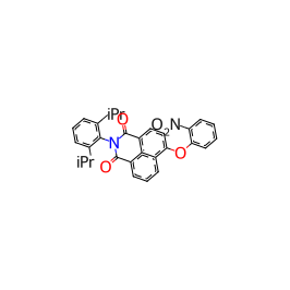 CC(C)c1cccc(C(C)C)c1N1C(=O)c2cccc3c(Oc4ccccc4[N+](=O)[O-])ccc(c23)C1=O